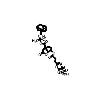 CC(OC(=O)CCC(=O)OC1C2CC3C1OC(=O)C3C2C(=O)OC(C)(C)OCC12CC3CC(CC(C3)C1)C2)C(F)(F)S(=O)(=O)O